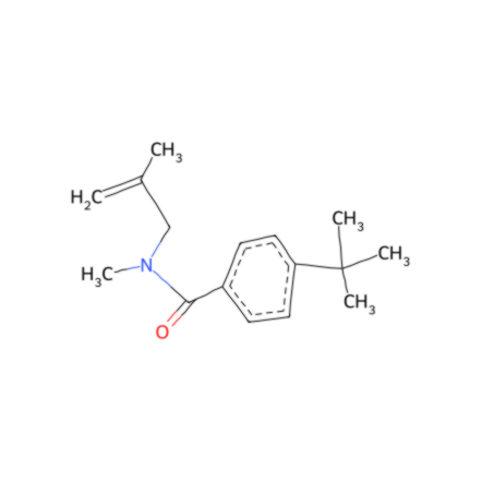 C=C(C)CN(C)C(=O)c1ccc(C(C)(C)C)cc1